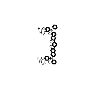 Cc1ccc(N(c2ccccc2)c2ccc3cc4c(cc3c2)oc2c4ccc3c4cc5ccc(N(c6ccccc6)c6ccc(C)c(C)c6C)cc5cc4oc32)c(C)c1C